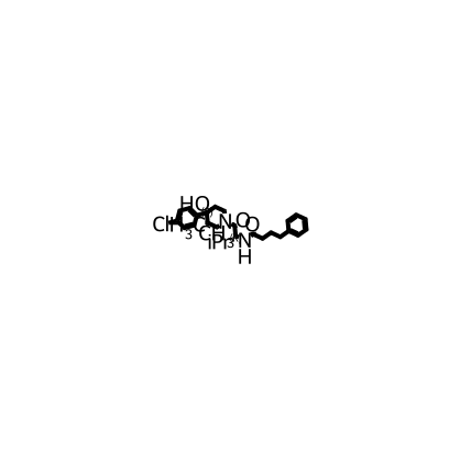 CC(C)[C@@H](NC(=O)CCCc1ccccc1)C(=O)N1CC[C@](O)(c2ccc(Cl)cc2)C(C)(C)C1